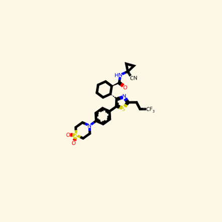 N#CC1(NC(=O)[C@@H]2CCCC[C@H]2c2nc(CCC(F)(F)F)sc2-c2ccc(N3CCS(=O)(=O)CC3)cc2)CC1